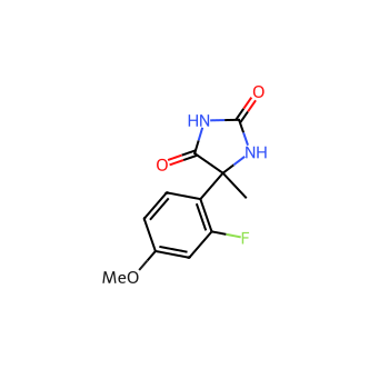 COc1ccc(C2(C)NC(=O)NC2=O)c(F)c1